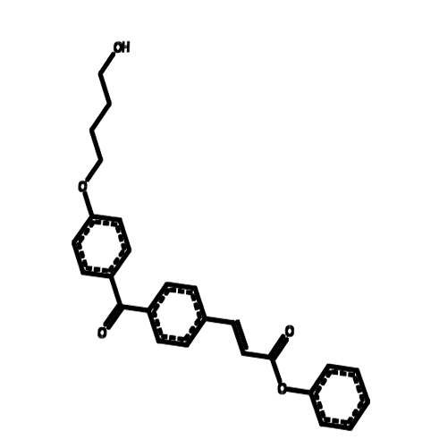 O=C(/C=C/c1ccc(C(=O)c2ccc(OCCCCO)cc2)cc1)Oc1ccccc1